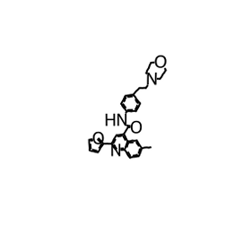 Cc1ccc2nc(-c3ccco3)cc(C(=O)Nc3ccc(CCN4CCOCC4)cc3)c2c1